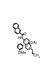 C=CCN1CC[C@@]2(c3cccc(OC)c3)C[C@@H](NC(=O)c3ccc4ccccc4c3)CC[C@]2(OC(C)=O)C1